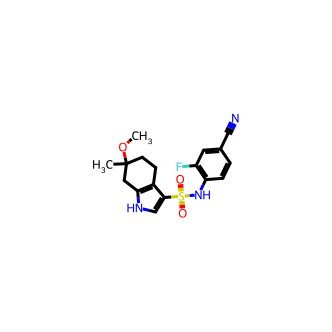 COC1(C)CCc2c(S(=O)(=O)Nc3ccc(C#N)cc3F)c[nH]c2C1